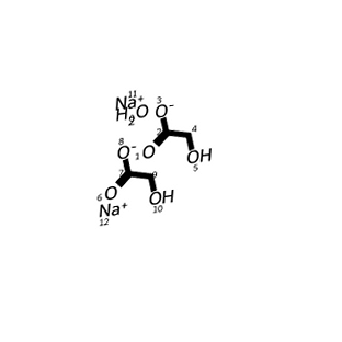 O.O=C([O-])CO.O=C([O-])CO.[Na+].[Na+]